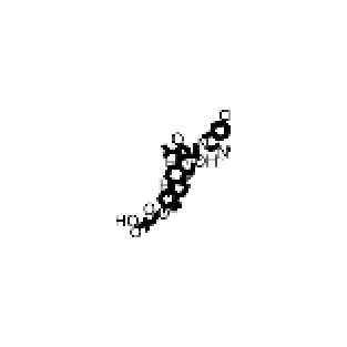 CC(C)C1=C2[C@H]3CC[C@@H]4[C@@]5(C)CC[C@H](OC(=O)CC(C)(C)C(=O)O)C(C)(C)C5CC[C@@]4(C)[C@]3(C)CC[C@@]2([C@H](O)CN(CCN(C)C)Cc2cccc(Cl)c2)CC1=O